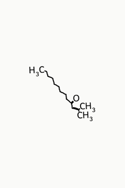 CCCCCCCCCC(=O)C=C(C)C